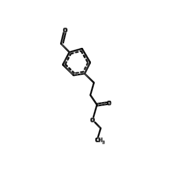 CCOC(=O)CCc1ccc(C=O)cc1